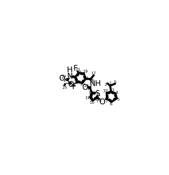 CC(C)c1cccc(Oc2ccc(C(=O)NC(C)c3cc(F)c(NS(C)(=O)=O)c(F)c3)s2)c1